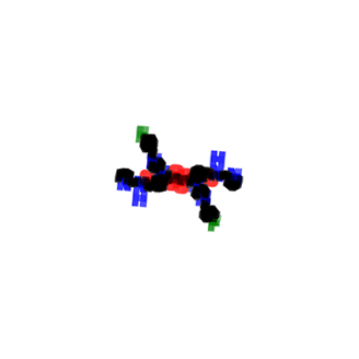 O=C(Cc1ccc2c(OC(=O)C(=O)Oc3cn(C4CCN(CCc5ccc(F)cc5)CC4)c4cc(CC(=O)NCCc5ccccn5)ccc34)cn(C3CCN(CCc4ccc(F)cc4)CC3)c2c1)NCCc1ccccn1